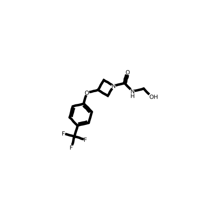 O=C(NCO)N1CC(Oc2ccc(C(F)(F)F)cc2)C1